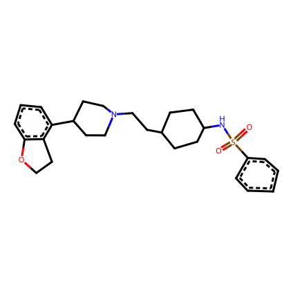 O=S(=O)(NC1CCC(CCN2CCC(c3cccc4c3CCO4)CC2)CC1)c1ccccc1